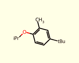 Cc1cc(C(C)(C)C)ccc1OC(C)C